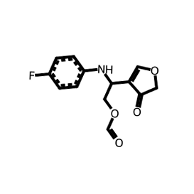 O=COCC(Nc1ccc(F)cc1)C1=COCC1=O